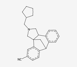 N#Cc1ccc2c(c1)C13CC2c2ccccc2C1CN(CC1CCCC1)C3